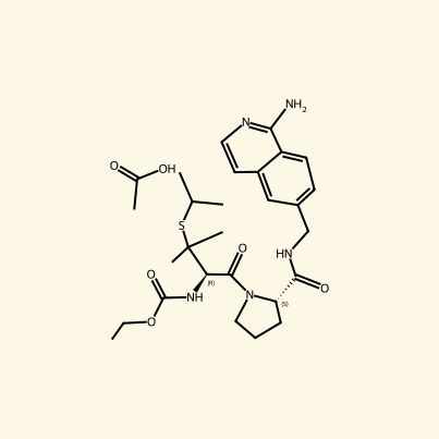 CC(=O)O.CCOC(=O)N[C@H](C(=O)N1CCC[C@H]1C(=O)NCc1ccc2c(N)nccc2c1)C(C)(C)SC(C)C